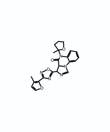 Cc1ccoc1-c1noc(C2N=CN3c4ccccc4N(C4(C)CCCO4)C(=O)C23)n1